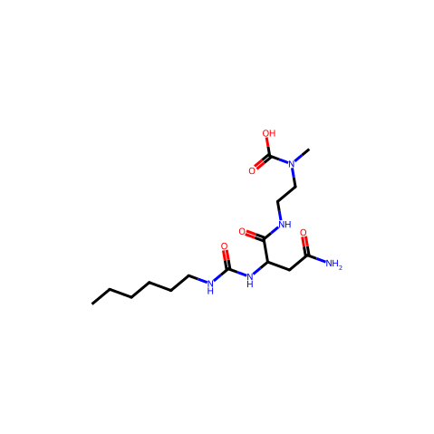 CCCCCCNC(=O)NC(CC(N)=O)C(=O)NCCN(C)C(=O)O